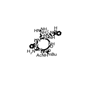 CCCC[C@H](NC(C)=O)C(=O)N[C@H]1CCC(=O)NCC[C@@H](C(=O)N[C@@H](Cc2c[nH]c3ccccc23)C(N)=O)NC(=O)[C@H](CCCNC(=N)N)NC(=O)[C@@H](Cc2ccccc2)NC(=O)C(CCN)NC1=O